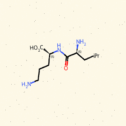 CC(C)C[C@H](N)C(=O)N[C@@H](CCCN)C(=O)O